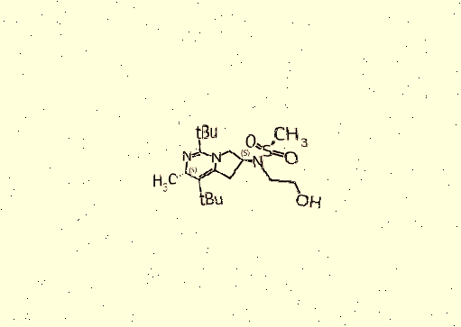 C[C@@H]1N=C(C(C)(C)C)N2C[C@@H](N(CCO)S(C)(=O)=O)CC2=C1C(C)(C)C